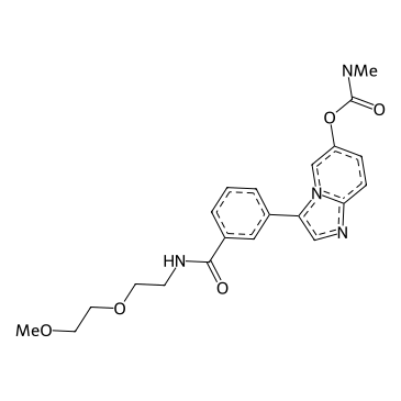 CNC(=O)Oc1ccc2ncc(-c3cccc(C(=O)NCCOCCOC)c3)n2c1